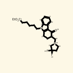 CCOC(=O)CCCCCn1c2c(c3ccccc31)C(=O)C(CN1CCC(F)(F)C1)CC2